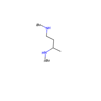 [CH2]C(CCNC(C)CC)NCCCC